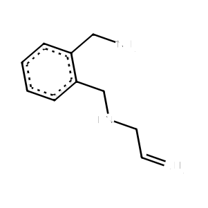 C=CCNCc1ccccc1CN